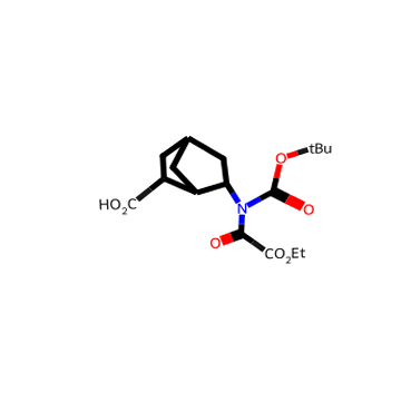 CCOC(=O)C(=O)N(C(=O)OC(C)(C)C)C1CC2CC(C(=O)O)C1C2